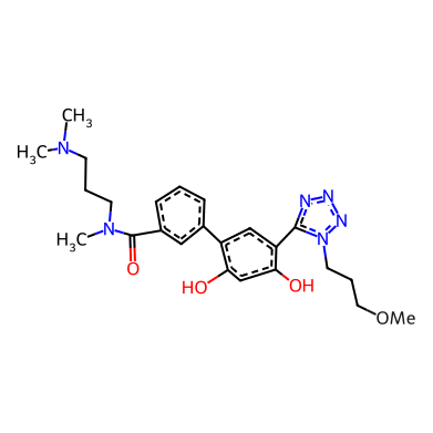 COCCCn1nnnc1-c1cc(-c2cccc(C(=O)N(C)CCCN(C)C)c2)c(O)cc1O